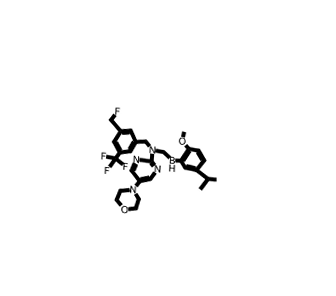 COc1ccc(C(C)C)cc1BCN(Cc1cc(CF)cc(C(F)(F)F)c1)c1ncc(N2CCOCC2)cn1